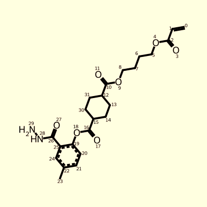 C=CC(=O)OCCCCOC(=O)C1CCC(C(=O)Oc2ccc(C)cc2C(=O)NN)CC1